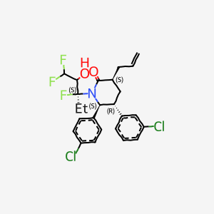 C=CC[C@H]1C[C@H](c2cccc(Cl)c2)[C@@H](c2ccc(Cl)cc2)N([C@](F)(CC)C(O)C(F)F)C1=O